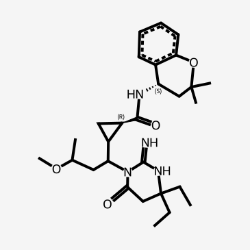 CCC1(CC)CC(=O)N(C(CC(C)OC)C2C[C@H]2C(=O)N[C@H]2CC(C)(C)Oc3ccccc32)C(=N)N1